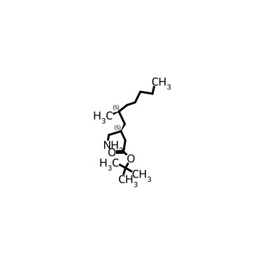 CCCCC[C@H](C)C[C@H](CN)CC(=O)OC(C)(C)C